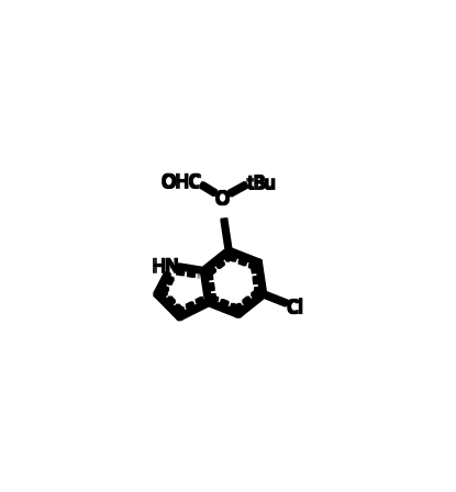 CC(C)(C)OC=O.Cc1cc(Cl)cc2cc[nH]c12